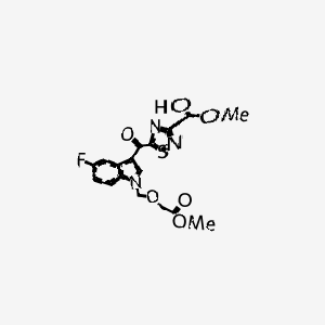 COC(=O)COCn1cc(C(=O)c2nc(C(O)OC)ns2)c2cc(F)ccc21